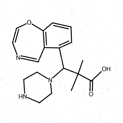 CC(C)(C(=O)O)C(c1cccc2c1C=NC=CO2)N1CCNCC1